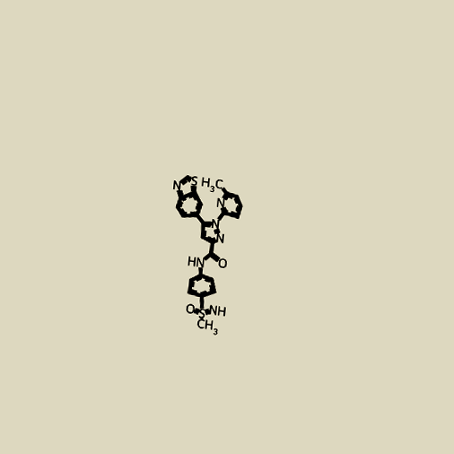 Cc1cccc(-n2nc(C(=O)Nc3ccc(S(C)(=N)=O)cc3)cc2-c2ccc3ncsc3c2)n1